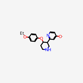 CCOc1ccc(OC2CCNCC2c2cc([O])ccn2)cc1